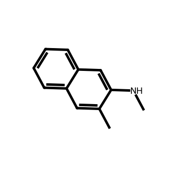 CNc1cc2ccccc2cc1C